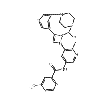 Cc1ncc(NC(=O)c2cc(C(F)(F)F)ccn2)cc1-n1cc2n1C(C(C)C)N1CCN(CC1)c1cncc-2c1